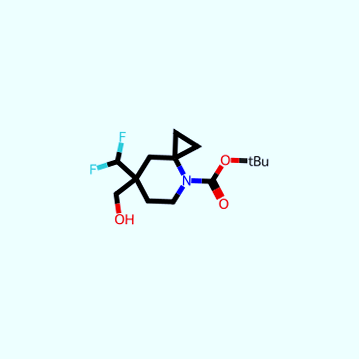 CC(C)(C)OC(=O)N1CCC(CO)(C(F)F)CC12CC2